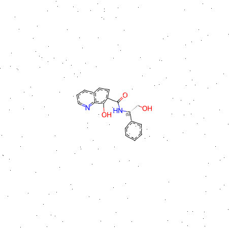 O=C(N[C@H](CO)c1ccccc1)c1ccc2cccnc2c1O